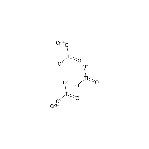 [Cr+3].[Cr+3].[O]=[Ti]([O-])[O-].[O]=[Ti]([O-])[O-].[O]=[Ti]([O-])[O-]